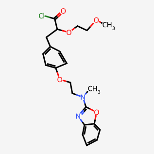 COCCOC(Cc1ccc(OCCN(C)c2nc3ccccc3o2)cc1)C(=O)Cl